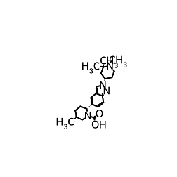 C[C@H]1CC[C@H](c2ccc3nn([C@H]4CCN(C)C(C)(C)C4)cc3c2)N(C(=O)O)C1